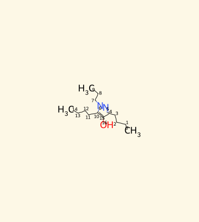 CCCCc1nn(CCC)c(CCCC)c1O